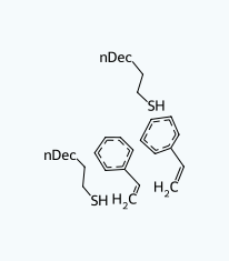 C=Cc1ccccc1.C=Cc1ccccc1.CCCCCCCCCCCCS.CCCCCCCCCCCCS